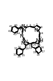 C1=Cc2cc3nnc(nc4nc(c(Cc5ccccc5)c5ccc(cc1n2)[nH]5)C(Cc1ccccc1)=N4)n3Cc1ccccc1